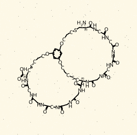 N[C@H]1CSCCCOc2cc3cc(c2)OCCCSC[C@H](NC(=O)CNC(=O)CNC(=O)CNC(=O)CNC(=O)CNC1=O)C(=O)NCC(=O)NCC(=O)NCC(=O)NCC(=O)NCC(=O)N[C@H](C(=O)O)CSCCCO3